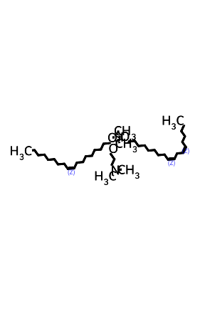 CCCCC/C=C\C/C=C\CCCCCCCCO[Si](C)(C)OC(CCCCCCC/C=C\CCCCCCCC)OCCCN(C)C